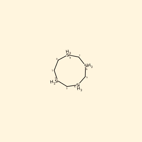 C1C[SiH2]C[SiH2]C[SiH2]C[SiH2]1